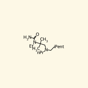 CCCC(C)CN(CCC)CC(C)(C)N(CC)C(N)=O